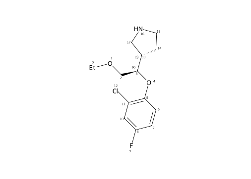 CCOC[C@H](Oc1ccc(F)cc1Cl)[C@H]1CCNC1